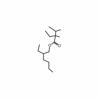 CCCCC(CC)COC(=O)C(C)(CC)C(C)C